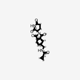 O=C1CCC(N2C(=O)c3ccc(CNC(=O)C4CC4)cc3C2=O)C(=O)N1